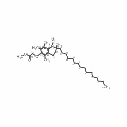 CCCCCCCCCCCCCCCCC1(C)CCc2c(C)c(OCC(=O)OC)c(C)c(C)c2N1C